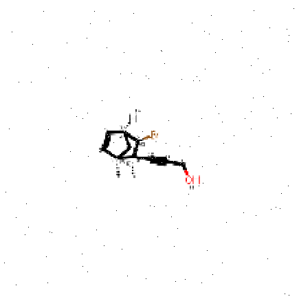 C[C@]12C=C[C@H](C1)[C@@H](Br)[C@@]2(C)C#CCO